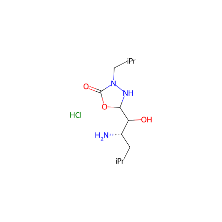 CC(C)C[C@H](N)C(O)C1NN(CC(C)C)C(=O)O1.Cl